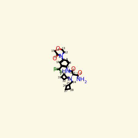 NC(=O)[C@@H](C(=O)Nc1ccc(N2CCOCC2=O)cc1C(F)F)N(CC1CCC1)C1CCC1